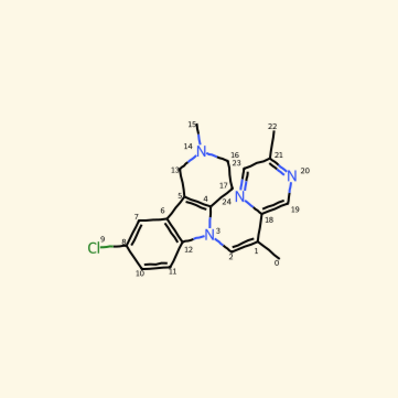 C/C(=C/n1c2c(c3cc(Cl)ccc31)CN(C)CC2)c1cnc(C)cn1